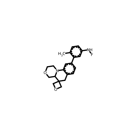 Cc1ccc(NF)cc1-c1ccc2c(c1)N1CCOCC1C1(COC1)C2